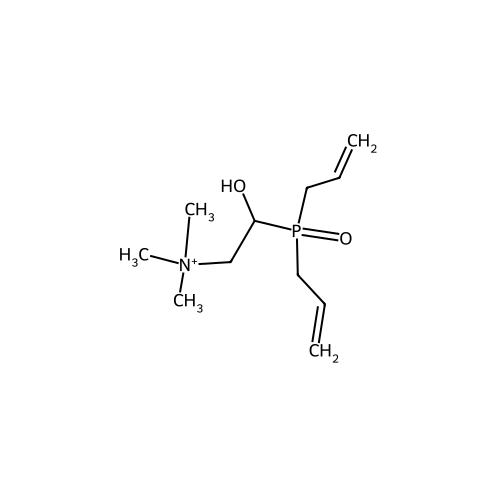 C=CCP(=O)(CC=C)C(O)C[N+](C)(C)C